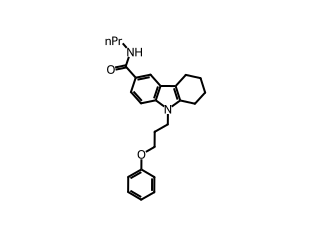 CCCNC(=O)c1ccc2c(c1)c1c(n2CCCOc2ccccc2)CCCC1